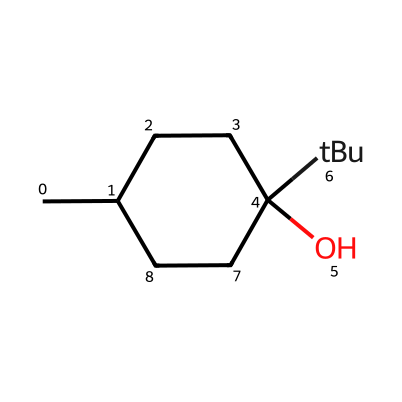 CC1CCC(O)(C(C)(C)C)CC1